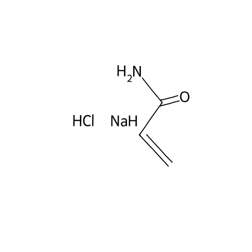 C=CC(N)=O.Cl.[NaH]